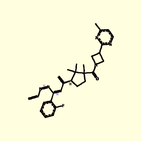 C=C/N=N\C(=C/C(=C)[C@@H]1CCC(C)(C(=O)N2CC(c3nccc(C)n3)C2)C1(C)C)c1ccccc1F